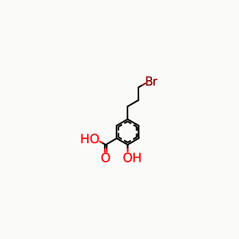 O=C(O)c1cc(CCCBr)ccc1O